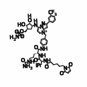 CC(C)C(NC(=O)CCCCCN1C(=O)C=CC1=O)C(=O)N[C@H](CCCNC(N)=O)C(=O)Nc1ccc(C[n+]2ccc(N[C@H]3C[C@@H](COS(N)(=O)=O)[C@H](O)[C@@H]3O)n3nc(-c4cccc(C(F)(F)F)c4)cc32)cc1